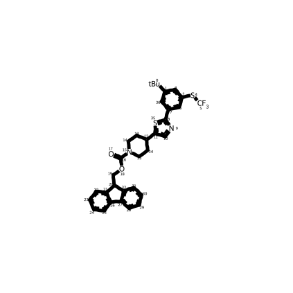 CC(C)(C)c1cc(SC(F)(F)F)cc(-c2ncc(C3CCN(C(=O)OCC4c5ccccc5-c5ccccc54)CC3)s2)c1